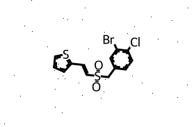 O=S(=O)(C=Cc1cccs1)Cc1ccc(Cl)c(Br)c1